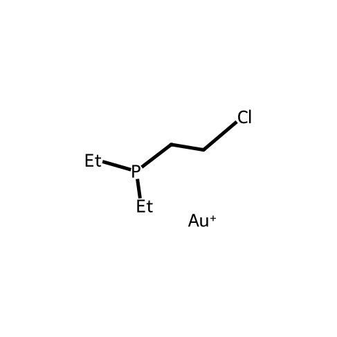 CCP(CC)CCCl.[Au+]